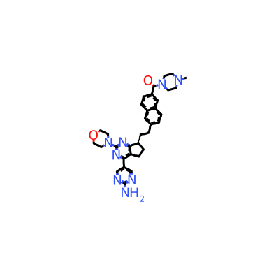 CN1CCN(C(=O)c2ccc3cc(CC[C@H]4CCc5c(-c6cnc(N)nc6)nc(N6CCOCC6)nc54)ccc3c2)CC1